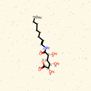 CCCCCCCCCCCCCCC/C=C/NC(=O)[C@H](O)[C@H]1OC(=O)[C@@H](O)[C@H]1O